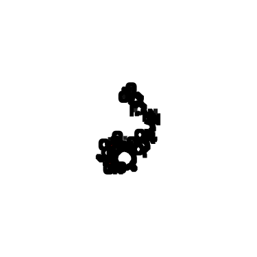 C=C1CC[C@]2(C)C[C@@H](C)/C(=N\C(C)=O)[C@H](C)[C@@H](OC1)[C@](C)(O)[C@@H](CC)OC(=O)[C@H](C)C(=O)[C@H](C)[C@H]2O[C@@H]1O[C@H](C)C[C@H](N(C)CCc2cn([C@H](CF)Cc3ccc(S(C)(=O)=O)cc3)nn2)[C@H]1O